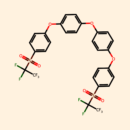 O=S(=O)(c1ccc(Oc2ccc(Oc3ccc(Oc4ccc(S(=O)(=O)C(F)(F)C(F)(F)F)cc4)cc3)cc2)cc1)C(F)(F)C(F)(F)F